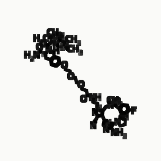 CN[C@@H](C)C(=O)N[C@H](C(=O)N1Cc2cc(OCCOCCOCCC(=O)NCCn3nc(C#N)c4c3CN(C)C(=O)c3ccc(F)cc3[C@H]3CCCN3c3nc-4cnc3N)ccc2C[C@H]1C(N)=O)C(C)(C)C